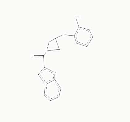 CC(C)(C)c1ccccc1OC1CN(C(=O)c2cn3ccccc3n2)C1